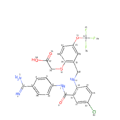 N=C(N)c1ccc(NC(=O)c2cc(Cl)ccc2NCc2cc(OC(F)(F)F)ccc2OCC(=O)O)cc1